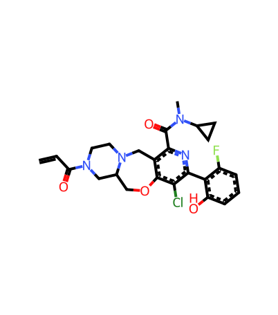 C=CC(=O)N1CCN2Cc3c(C(=O)N(C)C4CC4)nc(-c4c(O)cccc4F)c(Cl)c3OCC2C1